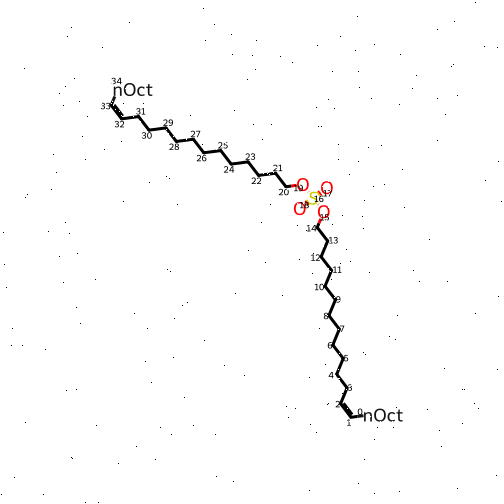 CCCCCCCC/C=C\CCCCCCCCCCCCOS(=O)(=O)OCCCCCCCCCCCC/C=C\CCCCCCCC